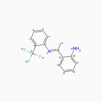 C/C(=N\c1ccccc1C(F)(F)F)c1ccccc1N